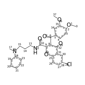 COc1ccc(C(=O)c2c(C(=O)NCCCN(C)c3ccccc3)oc3ccc(Cl)cc3c2=O)cc1OC